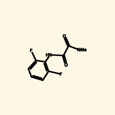 CNC(=O)C(=O)Nc1c(F)cccc1F